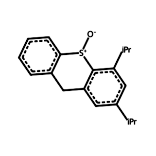 CC(C)c1cc2c(c(C(C)C)c1)[S+]([O-])c1ccccc1C2